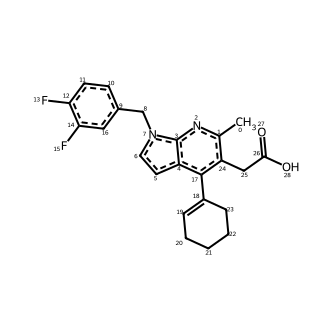 Cc1nc2c(ccn2Cc2ccc(F)c(F)c2)c(C2=CCCCC2)c1CC(=O)O